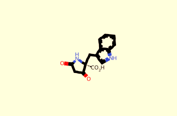 O=C1CC(=O)[C@@](Cc2c[nH]c3ccccc23)(C(=O)O)N1